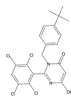 CC(C)(C)c1ccc(Cn2c(-c3c(Cl)c(Cl)cc(Cl)c3Cl)nc(O)cc2=O)cc1